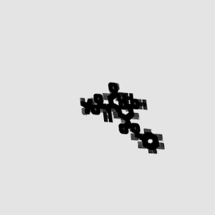 CC(C)(C)OC(=O)NC(CCC(CC(=O)O)C(=O)OCc1ccccc1)CC(=O)O